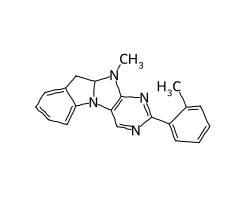 Cc1ccccc1-c1ncc2c(n1)N(C)C1Cc3ccccc3N21